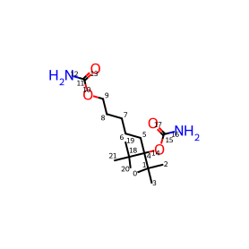 CC(C)(C)C(CCCCCOC(N)=O)(OC(N)=O)C(C)(C)C